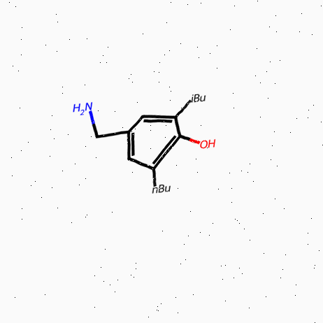 CCCCc1cc(CN)cc(C(C)CC)c1O